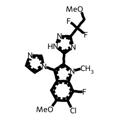 COCC(F)(F)c1n[nH]c(-c2c(-n3ccnc3)c3cc(OC)c(Cl)c(F)c3n2C)n1